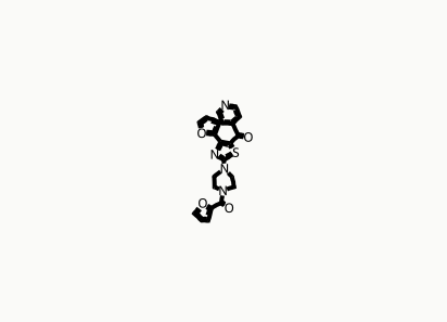 O=C(c1ccncc1)c1sc(N2CCN(C(=O)c3ccco3)CC2)nc1-c1ccco1